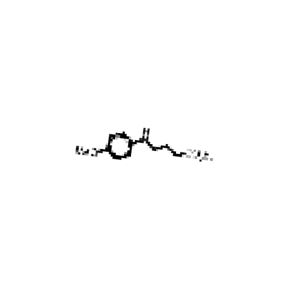 CCOC(=O)CCCNc1ccc(OC)cc1